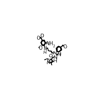 CCn1nc(C)cc1C(=O)Nc1nc2cc(C=O)ccc2n1CCCCNc1c(N)cc(C(=O)OC)cc1OC